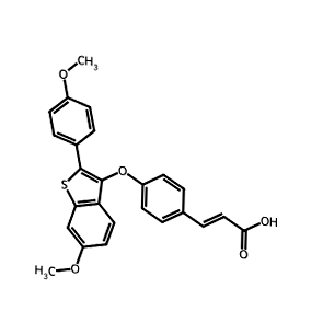 COc1ccc(-c2sc3cc(OC)ccc3c2Oc2ccc(C=CC(=O)O)cc2)cc1